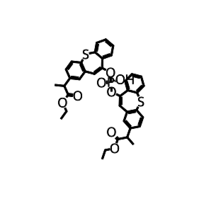 CCOC(=O)C(C)c1ccc2c(c1)C=C(OP(=O)(O)OC1=Cc3cc(C(C)C(=O)OCC)ccc3Sc3ccccc31)c1ccccc1S2